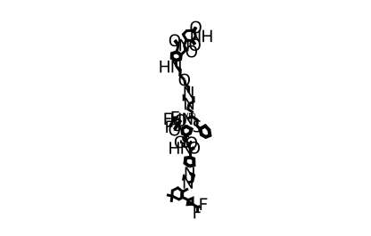 CC1(C)CCC(CN2CCN(c3ccc(C(=O)NS(=O)(=O)c4ccc(N[C@H](CCN5CCN(CCOCCNc6ccc7c(c6)C(=O)N(C6CCC(=O)NC6=O)C7=O)CC5)CSc5ccccc5)c(S(=O)(=O)C(F)(F)F)c4)cc3)CC2)=C(C23CC(C(F)F)(C2)C3)C1